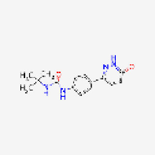 CC(C)(C)NC(=O)Nc1ccc(-c2ccc(=O)[nH]n2)cc1